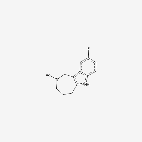 CC(=O)N1CCCc2[nH]c3ccc(F)cc3c2C1